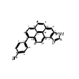 Brc1ccc(-c2ccc3ccc4cc5[nH]cnc5c5ccc2c3c45)cc1